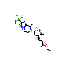 C=C(F)/C(=C\C=C(/C)OCC)CC(=O)N1CCn2nc(C(F)(F)F)nc2C1C